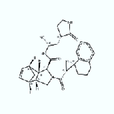 N#C[C@H](C[C@@H]1CCNC1=O)NC(=O)[C@@H]1[C@@H]2[C@H](CN1C(=O)[C@@H]1C[C@]13CCCc1ccccc13)[C@@H]1C=C[C@H]2C1